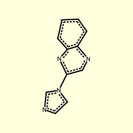 [c]1ccc2ncc(-n3ccnc3)nc2c1